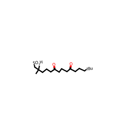 CC(C)(C)CCCC(=O)CCCC(=O)CCCC(C)(C)CS(=O)(=O)O